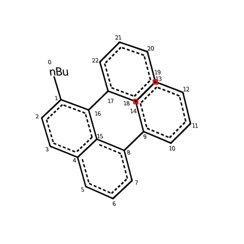 CCCCc1ccc2cccc(-c3ccccc3)c2c1-c1ccccc1